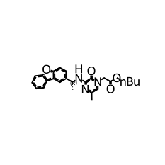 CCCCOC(=O)Cn1cc(C)nc(N[C@H](C)c2ccc3oc4ccccc4c3c2)c1=O